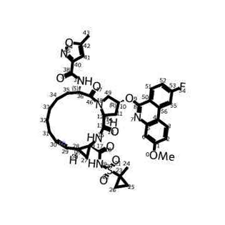 COc1ccc2c(c1)nc(O[C@@H]1C[C@H]3C(=O)N[C@]4(C(=O)NS(=O)(=O)C5(C)CC5)C[C@H]4/C=C\CCCCC[C@H](NC(=O)c4cc(C)on4)C(=O)N3C1)c1ccc(F)cc12